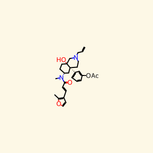 C=CCN1CC[C@@]2(c3cccc(OC(C)=O)c3)C[C@H](N(C)C(=O)/C=C/c3ccoc3C)CC[C@]2(O)C1